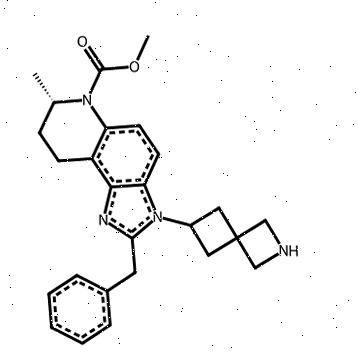 COC(=O)N1c2ccc3c(nc(Cc4ccccc4)n3C3CC4(CNC4)C3)c2CC[C@@H]1C